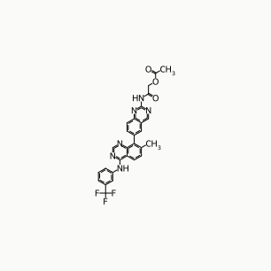 CC(=O)OCC(=O)Nc1ncc2cc(-c3c(C)ccc4c(Nc5cccc(C(F)(F)F)c5)ncnc34)ccc2n1